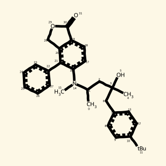 CC(CC(C)(O)Cc1ccc(C(C)(C)C)cc1)N(C)c1ccc2c(c1-c1ccccc1)COC2=O